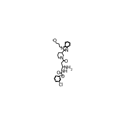 COCCCn1c(C2CCCN(C(=O)CC(N)CNS(=O)(=O)c3cccc(Cl)c3)C2)nc2ccccc21